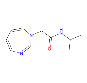 CC(C)NC(=O)CN1C=CC=CN=C1